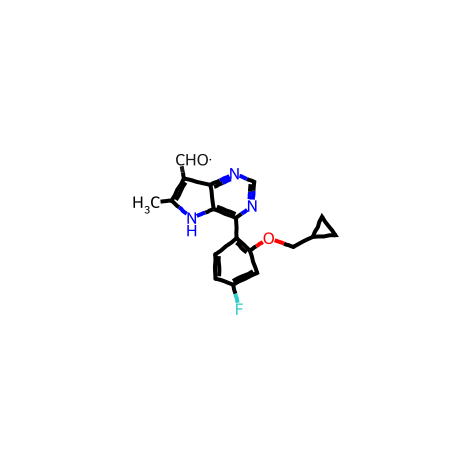 Cc1[nH]c2c(-c3ccc(F)cc3OCC3CC3)ncnc2c1[C]=O